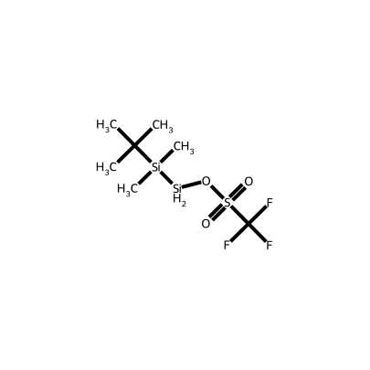 CC(C)(C)[Si](C)(C)[SiH2]OS(=O)(=O)C(F)(F)F